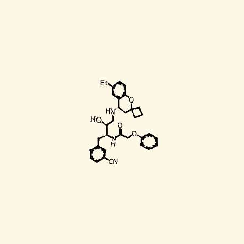 CCc1ccc2c(c1)[C@@H](NC[C@H](O)[C@H](Cc1cccc(C#N)c1)NC(=O)COc1ccccc1)CC1(CCC1)O2